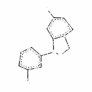 Fc1ccc2c(c1)B(c1cccc(Cl)c1)OC2